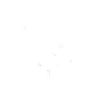 CCN1C(c2ccncc2)=NNC1(C)C=S